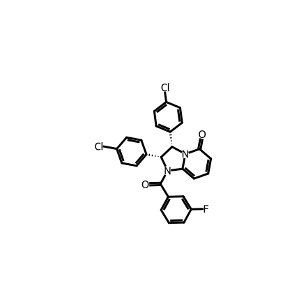 O=C(c1cccc(F)c1)N1c2cccc(=O)n2[C@@H](c2ccc(Cl)cc2)[C@H]1c1ccc(Cl)cc1